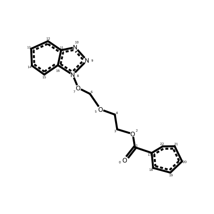 O=C(OCCOCOn1nnc2ccccc21)c1ccccc1